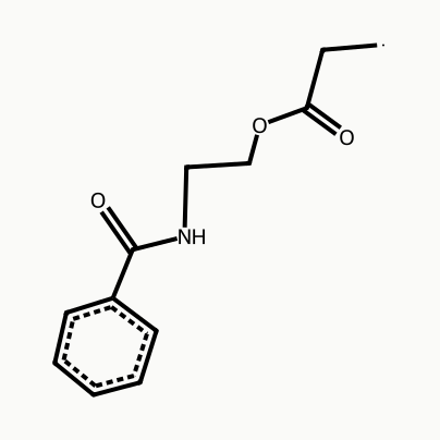 [CH2]CC(=O)OCCNC(=O)c1ccccc1